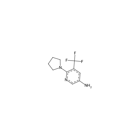 Nc1cnc(N2CCCC2)c(C(F)(F)F)c1